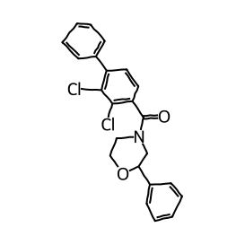 O=C(c1ccc(-c2ccccc2)c(Cl)c1Cl)N1CCOC(c2ccccc2)C1